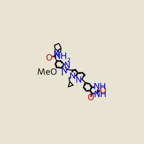 COc1cc(C(=O)N2CC3CCC2C3N)cc2nc(-c3cc4ccc(-c5ccc6c(=O)[nH]c(=O)[nH]c6c5)nc4n3CC3CC3)n(C)c12